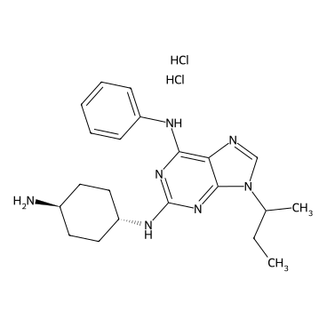 CCC(C)n1cnc2c(Nc3ccccc3)nc(N[C@H]3CC[C@H](N)CC3)nc21.Cl.Cl